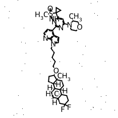 C[C@@H]1COCCN1c1cc(C2(S(C)(=N)=O)CC2)nc(-c2ccnc3c2ccn3CCCCCO[C@H]2CC[C@H]3[C@@H]4CC[C@H]5CC(F)(F)CC[C@]5(C)[C@H]4CC[C@]23C)n1